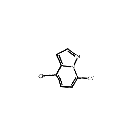 N#Cc1ccc(Cl)c2ccnn12